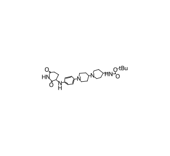 CC(C)(C)OC(=O)NCC1CCN(C2CCN(c3ccc(NC4CCC(=O)NC4=O)cc3)CC2)CC1